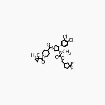 CN(C(=O)OCC1CCC(F)(F)C1)[C@H]1CN(C(=O)C2CCN(C(=O)C3(C)CC3)CC2)C[C@@H]1c1ccc(Cl)c(Cl)c1